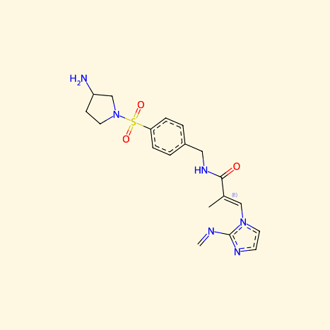 C=Nc1nccn1/C=C(\C)C(=O)NCc1ccc(S(=O)(=O)N2CCC(N)C2)cc1